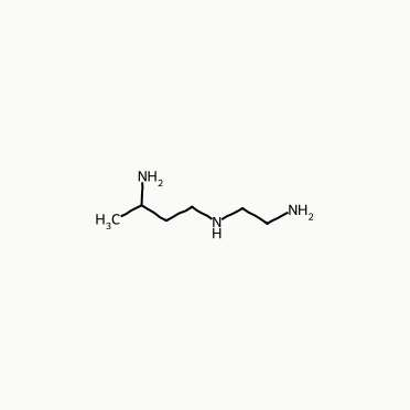 CC(N)CCNCCN